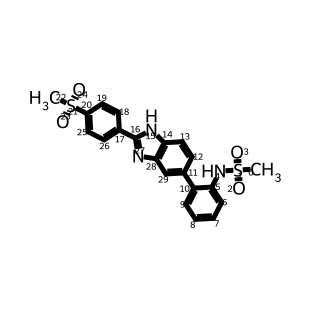 CS(=O)(=O)Nc1ccccc1-c1ccc2[nH]c(-c3ccc(S(C)(=O)=O)cc3)nc2c1